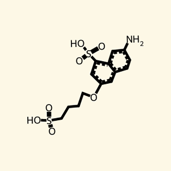 Nc1ccc2cc(OCCCCS(=O)(=O)O)cc(S(=O)(=O)O)c2c1